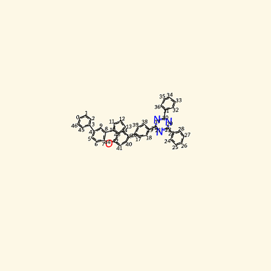 c1ccc(-c2ccc3c(c2)-c2cccc4c(-c5ccc(-c6nc(-c7ccccc7)nc(-c7ccccc7)n6)cc5)ccc(c24)O3)cc1